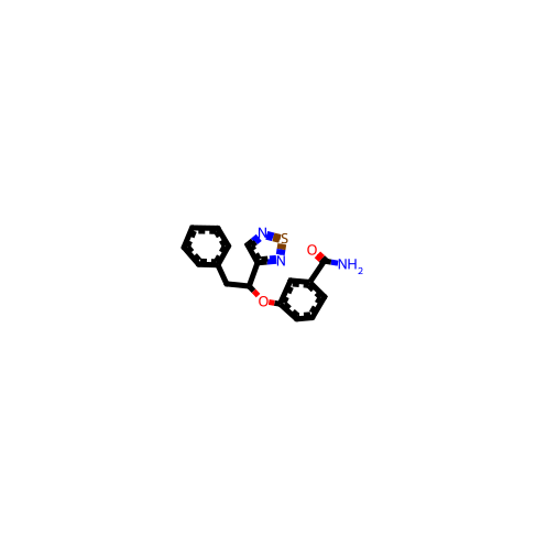 NC(=O)c1cccc(OC(Cc2ccccc2)c2cnsn2)c1